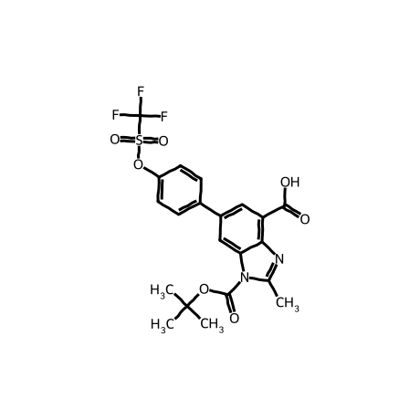 Cc1nc2c(C(=O)O)cc(-c3ccc(OS(=O)(=O)C(F)(F)F)cc3)cc2n1C(=O)OC(C)(C)C